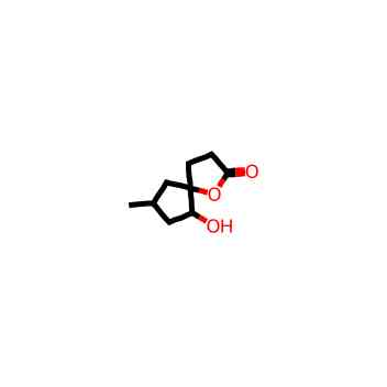 CC1CC(O)C2(CCC(=O)O2)C1